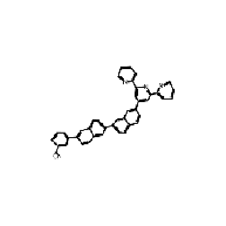 N#Cc1cccc(-c2ccc3cc(-c4ccc5ccc(-c6cc(-c7ccccn7)nc(-c7ccccn7)c6)cc5c4)ccc3c2)c1